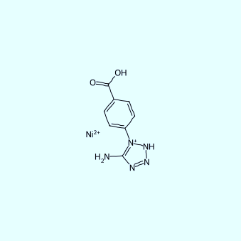 Nc1nn[nH][n+]1-c1ccc(C(=O)O)cc1.[Ni+2]